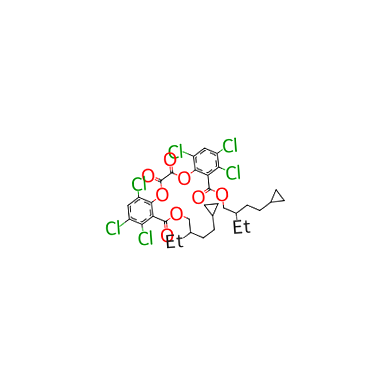 CCC(CCC1CC1)COC(=O)c1c(Cl)c(Cl)cc(Cl)c1OC(=O)C(=O)Oc1c(Cl)cc(Cl)c(Cl)c1C(=O)OCC(CC)CCC1CC1